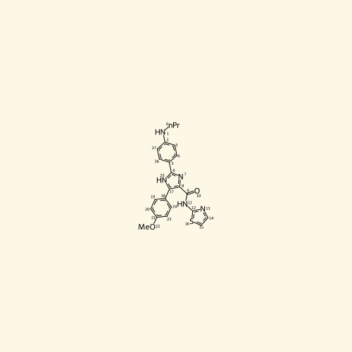 CCCNc1ccc(-c2nc(C(=O)Nc3nccs3)c(-c3ccc(OC)cc3)[nH]2)cc1